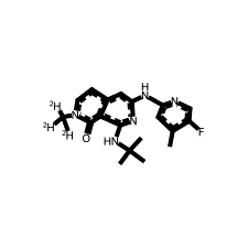 [2H]C([2H])([2H])n1ccc2cc(Nc3cc(C)c(F)cn3)nc(NC(C)(C)C)c2c1=O